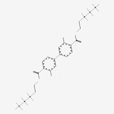 CC(F)(F)C(F)(F)C(F)(F)CCOC(=O)c1ccc(-c2ccc(C(=O)OCCC(F)(F)C(F)(F)C(F)(F)C(F)(F)F)c(C(=O)O)c2)cc1C(=O)O